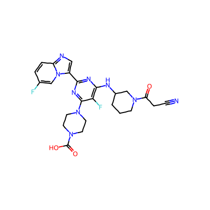 N#CCC(=O)N1CCCC(Nc2nc(-c3cnc4ccc(F)cn34)nc(N3CCN(C(=O)O)CC3)c2F)C1